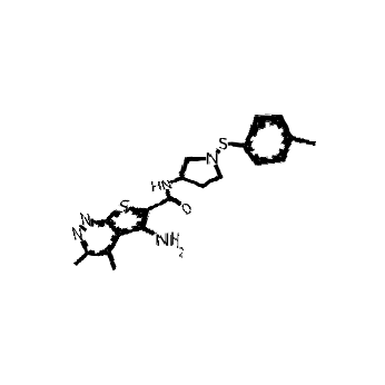 Cc1ccc(SN2CCC(NC(=O)c3sc4nnc(C)c(C)c4c3N)C2)cc1